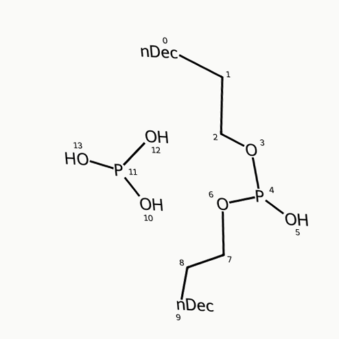 CCCCCCCCCCCCOP(O)OCCCCCCCCCCCC.OP(O)O